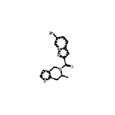 CC1Cc2sccc2CN1C(=O)c1cc2ccc(Br)cn2n1